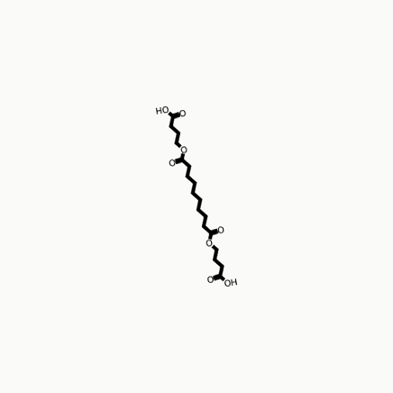 O=C(O)CCCOC(=O)CCCCCCCCC(=O)OCCCC(=O)O